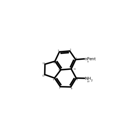 CCCCCc1ccc2c3c(ccc(N)c13)CC2